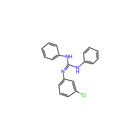 Clc1cccc(N=C(Nc2ccccc2)Nc2ccccc2)c1